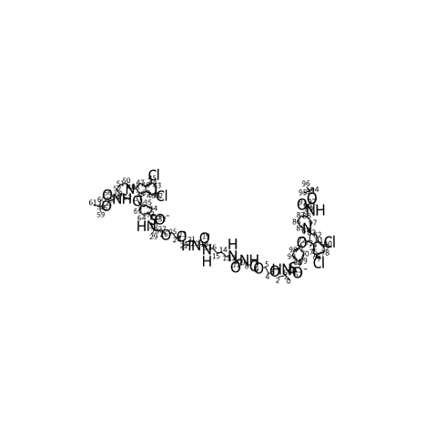 C[C@@H](COCCOCCNC(=O)NCCCCNC(=O)NCCOCCOC[C@H](C)N[S+]([O-])c1ccc(O[C@H]2c3cc(Cl)cc(Cl)c3C[C@@H]2N2CCC[C@@H](NC(=O)OC(C)(C)C)C2)cc1)N[S+]([O-])c1ccc(OC2c3cc(Cl)cc(Cl)c3C[C@@H]2N2CCC[C@@H](NC(=O)OC(C)(C)C)C2)cc1